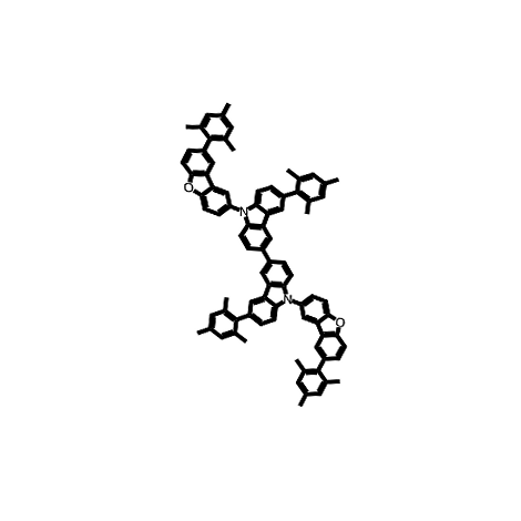 Cc1cc(C)c(-c2ccc3oc4ccc(-n5c6ccc(-c7ccc8c(c7)c7cc(-c9c(C)cc(C)cc9C)ccc7n8-c7ccc8oc9ccc(-c%10c(C)cc(C)cc%10C)cc9c8c7)cc6c6cc(-c7c(C)cc(C)cc7C)ccc65)cc4c3c2)c(C)c1